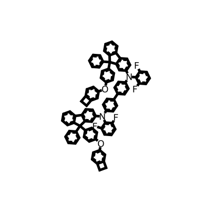 Fc1cccc(F)c1N(c1ccc(-c2ccc(N(c3ccc4c(c3)C(c3ccccc3)(c3ccc(Oc5ccc6c(c5)CC6)cc3)c3ccccc3-4)c3c(F)cccc3F)cc2)cc1)c1ccc2c(c1)C(c1ccccc1)(c1ccc(Oc3ccc4c(c3)CC4)cc1)c1ccccc1-2